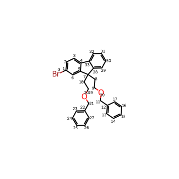 Brc1ccc2c(c1)C(CCOCc1ccccc1)(CCOCc1ccccc1)c1ccccc1-2